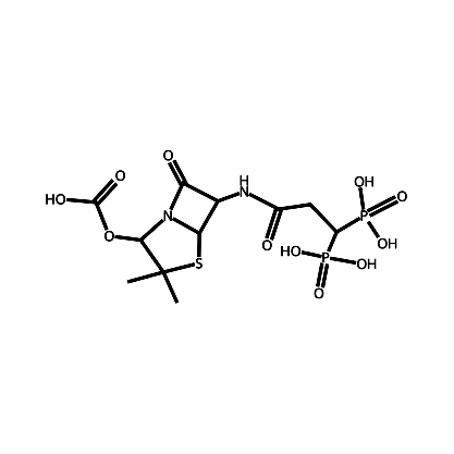 CC1(C)SC2C(NC(=O)CC(P(=O)(O)O)P(=O)(O)O)C(=O)N2C1OC(=O)O